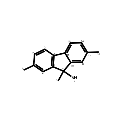 Cc1ccc2c(c1)C(C)(S)c1cc(C)ccc1-2